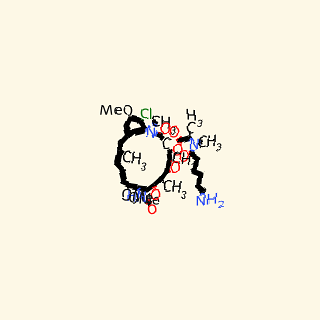 COc1cc2cc(c1Cl)N(C)C(=O)C[C@H](OC(=O)[C@H](C)N(C)C(=O)CCCCCN)[C@]1(C)OC1[C@H](C)C1C[C@@](OC)(NC(=O)O1)[C@H](OC)/C=C/C=C(\C)C2